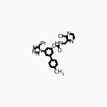 Cc1ccc(-c2cc(OC(=O)NCc3nccnc3Cl)cc(-n3nnnc3C(C)C)c2)cc1